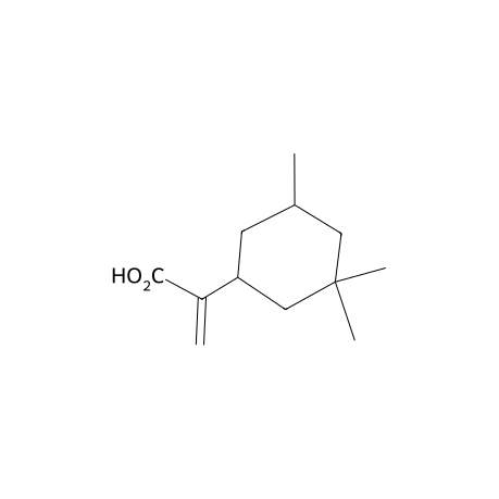 C=C(C(=O)O)C1CC(C)CC(C)(C)C1